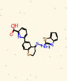 O=C(O)c1cccc(-c2ccc3c(c2)C(=NNc2nc4ccccc4s2)CCS3)n1